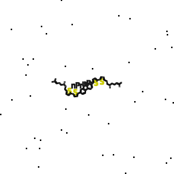 CCCC1(CCC)c2cc(-c3ccc(-c4ccc(CC[C@H](C)CCC=C(C)C)s4)s3)ccc2-c2ccc(-c3ccc(-c4ccc(CC[C@H](C)CCC=C(C)C)s4)s3)cc21